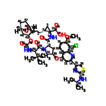 CC[C@@H]1C[C@]1(NC(=O)[C@@H]1C[C@@H](Oc2cc(-c3csc(NC(C)C)n3)nc3c(Cl)c(OC)ccc23)CN1C(=O)C(NC(=O)OC1C[C@H]2CC[C@@H](C1)O2)C(C)(C)C)C(=O)O